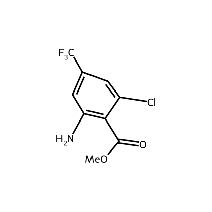 COC(=O)c1c(N)cc(C(F)(F)F)cc1Cl